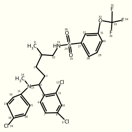 CC(CCC(c1ccc(Cl)cc1Cl)N(C)c1ccc(Cl)cc1)CNS(=O)(=O)c1cccc(OC(F)(F)F)c1